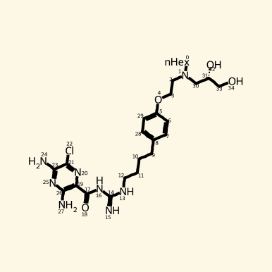 CCCCCCN(CCOc1ccc(CCCCNC(=N)NC(=O)c2nc(Cl)c(N)nc2N)cc1)C[C@H](O)CO